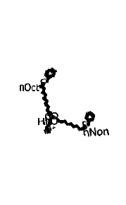 CCCCCCCCCC(CCCCCCCCOP(=O)(NCC[N+](C)(C)C)OCCCCCCCCCC(CCCCCCCC)SCc1ccccc1)SCc1ccccc1